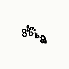 O=C(N(c1cccc(Cn2cc(-c3ncnc4[nH]ccc34)cn2)c1)c1cccc2ccccc12)C(F)(F)F